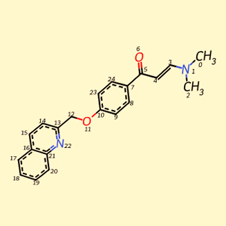 CN(C)C=CC(=O)c1ccc(OCc2ccc3ccccc3n2)cc1